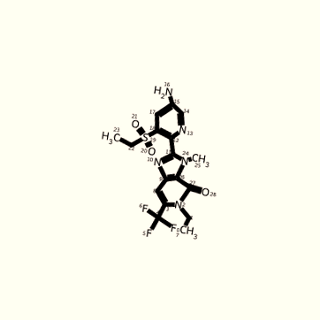 CCn1c(C(F)(F)F)cc2nc(-c3ncc(N)cc3S(=O)(=O)CC)n(C)c2c1=O